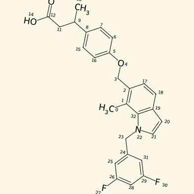 Cc1c(COc2ccc(C(C)CC(=O)O)cc2)ccc2ccn(Cc3cc(F)cc(F)c3)c12